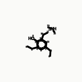 CCc1cc(CC)c(O)c(CC)c1.CNC